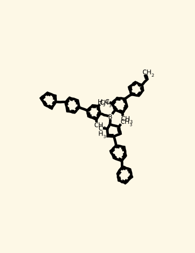 C=Cc1ccc(-c2cc(C)c(B(c3c(C)cc(-c4ccc(-c5ccccc5)cc4)cc3C)C3C(C)=CC(c4ccc(-c5ccccc5)cc4)=CC3C)c(C)c2)cc1